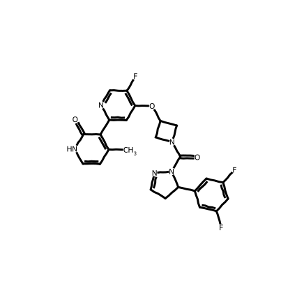 Cc1cc[nH]c(=O)c1-c1cc(OC2CN(C(=O)N3N=CCC3c3cc(F)cc(F)c3)C2)c(F)cn1